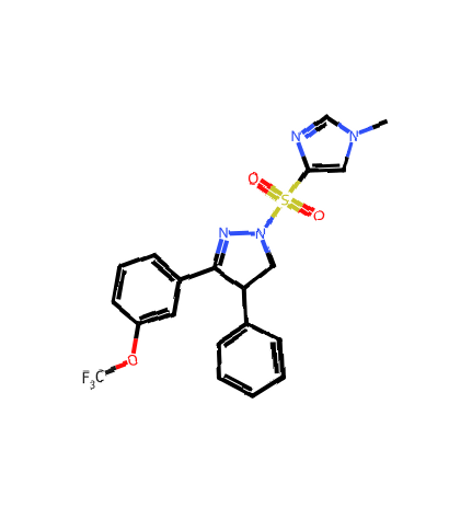 Cn1cnc(S(=O)(=O)N2CC(c3ccccc3)C(c3cccc(OC(F)(F)F)c3)=N2)c1